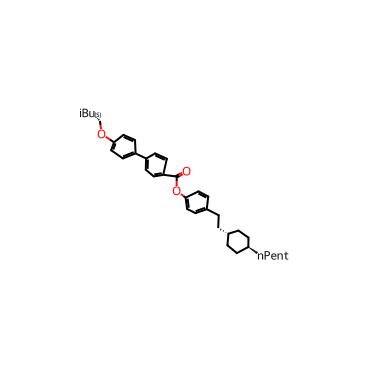 CCCCC[C@H]1CC[C@H](CCc2ccc(OC(=O)c3ccc(-c4ccc(OC[C@@H](C)CC)cc4)cc3)cc2)CC1